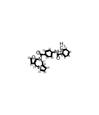 Cc1ccccc1C(=O)Nc1ccc(C(=O)N2Cc3cccn3Cc3ccoc32)cc1